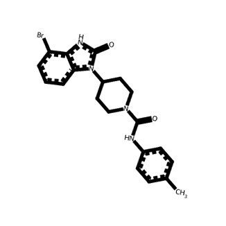 Cc1ccc(NC(=O)N2CCC(n3c(=O)[nH]c4c(Br)cccc43)CC2)cc1